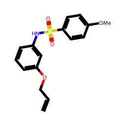 C=CCOc1cccc(NS(=O)(=O)c2ccc(OC)cc2)c1